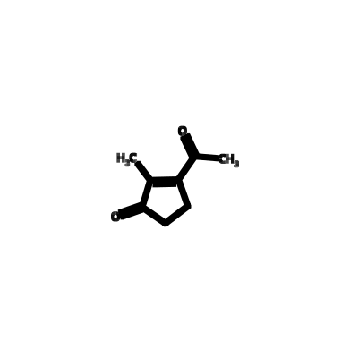 CC(=O)C1=C(C)C(=O)CC1